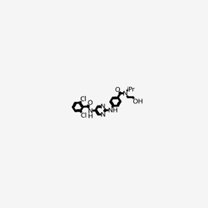 CC(C)N(CCO)C(=O)c1ccc(Nc2ncc(NC(=O)c3c(Cl)cccc3Cl)cn2)cc1